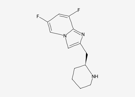 Fc1cc(F)c2nc(C[C@@H]3CCCCN3)cn2c1